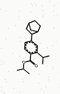 CC(C)OC(=O)c1ccc(C2CC3CCC2C3)cc1C(C)C